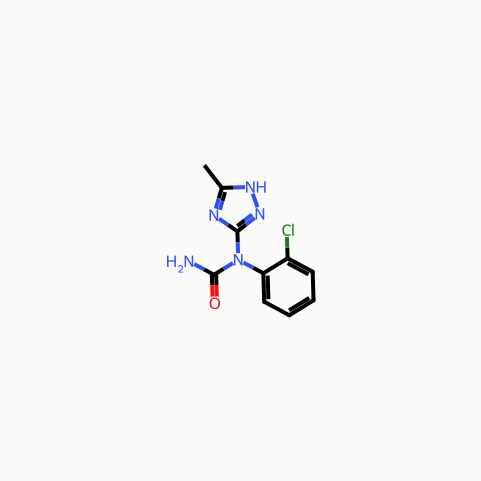 Cc1nc(N(C(N)=O)c2ccccc2Cl)n[nH]1